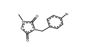 Cn1sc(=O)n(Cc2ccc(Br)cc2)c1=O